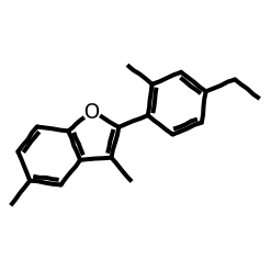 CCc1ccc(-c2oc3ccc(C)cc3c2C)c(C)c1